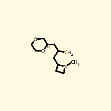 CC(CC1CCN1C)C[C@@H]1COCCO1